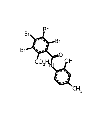 Cc1ccc(NC(=O)c2c(Br)c(Br)c(Br)c(Br)c2C(=O)O)c(O)c1